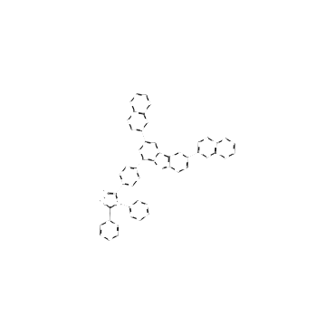 c1ccc(-c2nnc(-c3ccc(-c4cc(-c5ccc6ccccc6c5)cc5c4oc4ccc(-c6ccc7ccccc7c6)cc45)cc3)n2-c2ccccc2)cc1